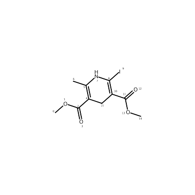 COC(=O)C1=C(C)NC(I)=C(C(=O)OC)C1